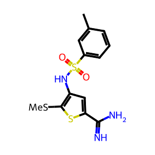 CSc1sc(C(=N)N)cc1NS(=O)(=O)c1cccc(C)c1